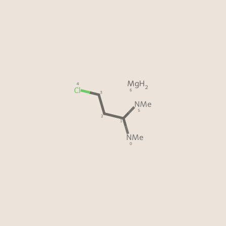 CNC(CCCl)NC.[MgH2]